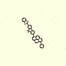 CC1(C)c2cc(-c3nc4ccccc4o3)ccc2-c2ccc(-c3ccc4ccc5c(-c6ccccc6)ccc6ccc3c4c65)cc21